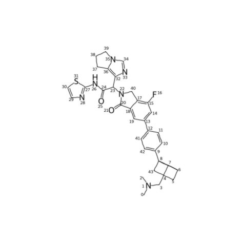 CN(C)CC12CC3C1C3(c1ccc(-c3cc(F)c4c(c3)C(=O)N(C(C(=O)Nc3nccs3)c3ncn5c3CCC5)C4)cc1)C2